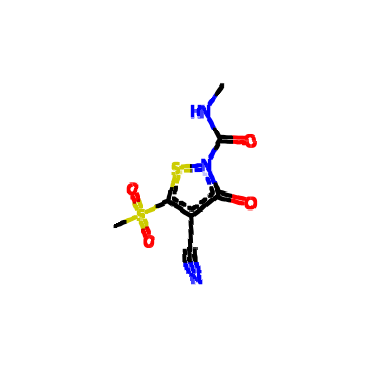 CNC(=O)n1sc(S(C)(=O)=O)c(C#N)c1=O